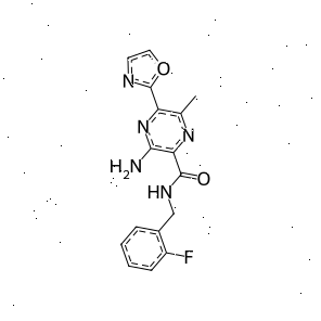 Cc1nc(C(=O)NCc2ccccc2F)c(N)nc1-c1ncco1